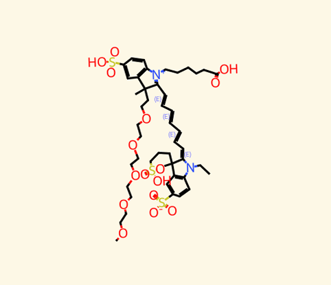 CCN1/C(=C/C=C/C=C/C=C/C2=[N+](CCCCCC(=O)O)c3ccc(S(=O)(=O)O)cc3C2(C)CCOCCOCCOCCOCCOC)C(C)(CCCS(=O)(=O)O)c2cc(S(=O)(=O)[O-])ccc21